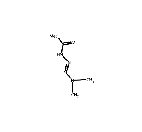 COC(=O)NN=CN(C)C